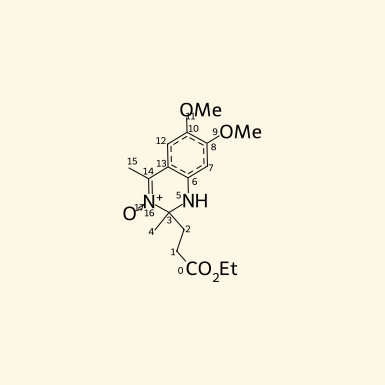 CCOC(=O)CCC1(C)Nc2cc(OC)c(OC)cc2C(C)=[N+]1[O-]